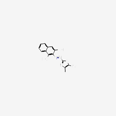 CC(=O)c1sc(/N=N/c2c(S)cc3ccccc3c2O)nc1C